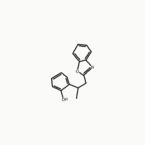 CC(Cc1nc2ccccc2o1)c1ccccc1O